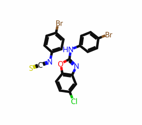 Clc1ccc2oc(Nc3ccc(Br)cc3)nc2c1.S=C=Nc1ccc(Br)cc1